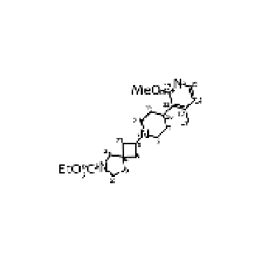 CCOC(=O)N1CCC2(CC(N3CCC(c4c(C)ccnc4OC)CC3)C2)C1